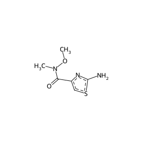 CON(C)C(=O)c1csc(N)n1